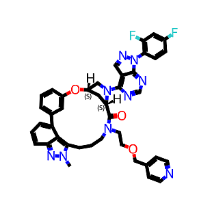 Cn1nc2cccc3c2c1CCCN(CCOCc1ccncc1)C(=O)[C@@H]1C[C@@H](CN1c1ncnc2c1cnn2-c1ccc(F)cc1F)Oc1cccc-3c1